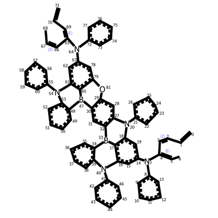 C=C/C=C\C(=C/C)N(c1ccccc1)c1cc2c3c(c1)N(c1ccccc1)c1cc4c(cc1B3c1ccccc1N2c1ccccc1)B1c2ccccc2N(c2ccccc2)c2cc(N(C(/C=C\C)=C/C=C)c3ccccc3)cc(c21)O4